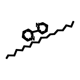 CCCCCCCCCCCCCCCCCC.c1ccc(-c2ccccn2)nc1